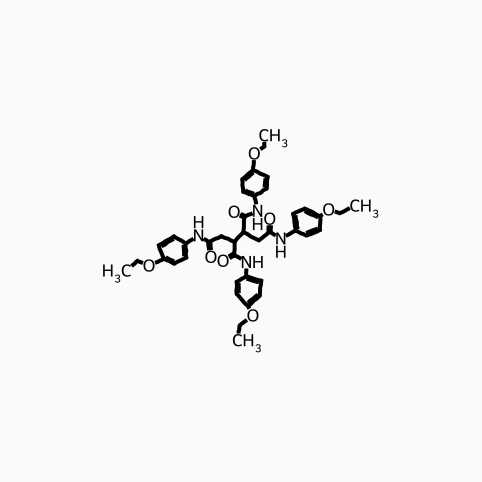 CCOc1ccc(NC(=O)CC(C(=O)Nc2ccc(OCC)cc2)C(CC(=O)Nc2ccc(OCC)cc2)C(=O)Nc2ccc(OCC)cc2)cc1